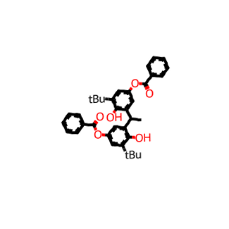 CC(c1cc(OC(=O)c2ccccc2)cc(C(C)(C)C)c1O)c1cc(OC(=O)c2ccccc2)cc(C(C)(C)C)c1O